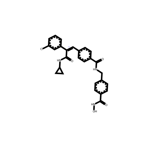 O=C(NC1CC1)/C(=C\c1ccc(C(=O)NCc2ccc(C(=O)NO)cc2)cc1)c1cccc(Cl)c1